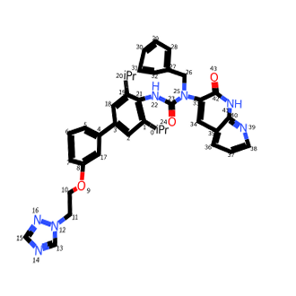 CC(C)c1cc(-c2cccc(OCCn3cncn3)c2)cc(C(C)C)c1NC(=O)N(Cc1ccccc1)c1cc2cccnc2[nH]c1=O